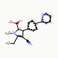 CCC1=C(C#N)C(c2ccc(-c3ccccn3)cc2)C(C(=O)O)N1C